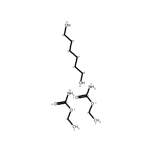 CCOC(N)=O.CCOC(N)=O.OCCCCCCO